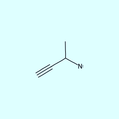 C#CC(C)[N]